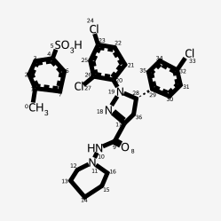 Cc1ccc(S(=O)(=O)O)cc1.O=C(NN1CCCCC1)C1=NN(c2ccc(Cl)cc2Cl)[C@H](c2ccc(Cl)cc2)C1